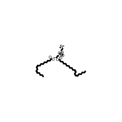 CCCC/C=C\C/C=C\CCCCCCCC(=O)OC[C@H](COP(=O)([O-])OCC[N+](C)(C)C)OC(=O)CCCCCCCCC/C=C\C/C=C\CCCCC